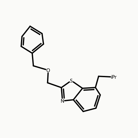 CC(C)Cc1cccc2nc(COCc3ccccc3)sc12